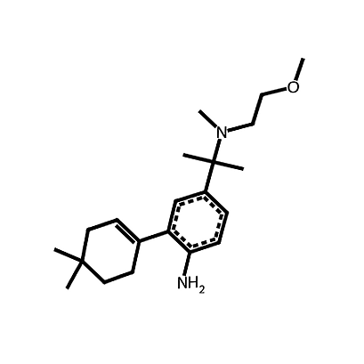 COCCN(C)C(C)(C)c1ccc(N)c(C2=CCC(C)(C)CC2)c1